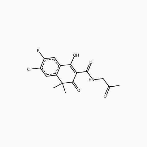 CC(=O)CNC(=O)C1=C(O)c2cc(F)c(Cl)cc2C(C)(C)C1=O